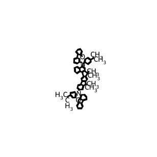 CC(C)c1ccc(N(c2ccc3c(c2)C(C)(C)c2cc4c(cc2-3)-c2c(cc(N(c3ccc(C(C)C)cc3)c3cccc5c3oc3ccccc35)c3ccccc23)C4(C)C)c2cccc3c2oc2ccccc23)cc1